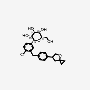 OC[C@H]1O[C@@H](c2ccc(Cl)c(Cc3ccc(C4COC5(CC5)C4)cc3)c2)[C@H](O)[C@@H](O)[C@@H]1O